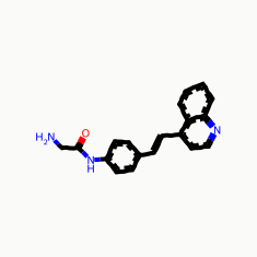 NCC(=O)Nc1ccc(C=Cc2ccnc3ccccc23)cc1